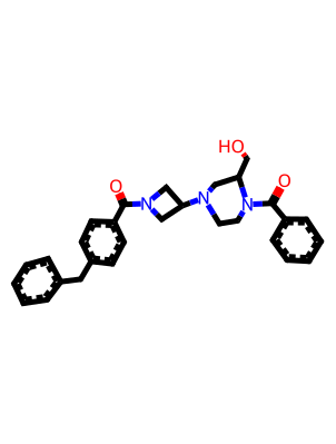 O=C(c1ccc(Cc2ccccc2)cc1)N1CC(N2CCN(C(=O)c3ccccc3)C(CO)C2)C1